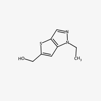 CCn1ncc2sc(CO)cc21